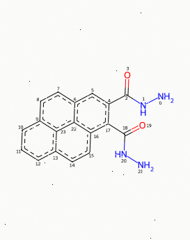 NNC(=O)c1cc2ccc3cccc4ccc(c1C(=O)NN)c2c34